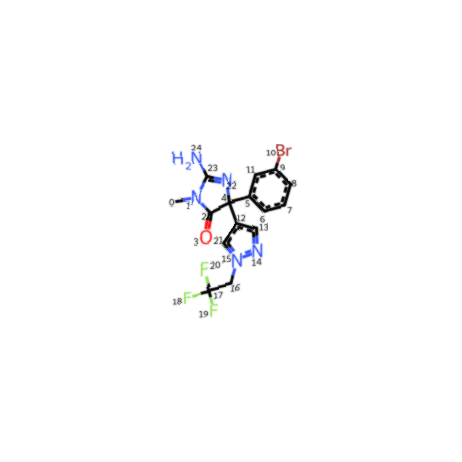 CN1C(=O)C(c2cccc(Br)c2)(c2cnn(CC(F)(F)F)c2)N=C1N